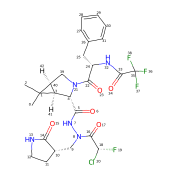 CC1(C)[C@@H]2[C@@H](C(=O)NN(C[C@@H]3CCNC3=O)C(=O)[C@H](F)Cl)N(C(=O)[C@H](Cc3ccccc3)NC(=O)C(F)(F)F)C[C@@H]21